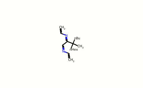 C=C/N=C\C(=N/C=C)C(C)(CCCC)CCCCCC